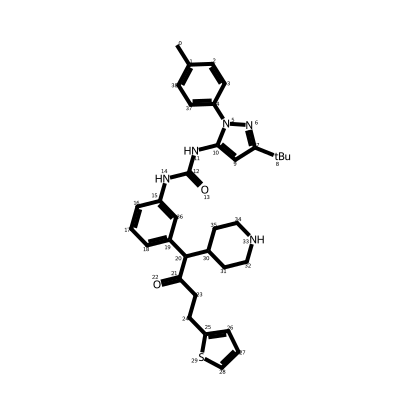 Cc1ccc(-n2nc(C(C)(C)C)cc2NC(=O)Nc2cccc(C(C(=O)CCc3cccs3)C3CCNCC3)c2)cc1